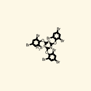 Bc1cc(Br)cc(Br)c1Oc1nc(Oc2c(Br)cc(Br)cc2Br)nc(Oc2c(Br)cc(Br)cc2Br)n1